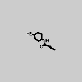 CC#CC(=O)NC1CCC(S)CC1